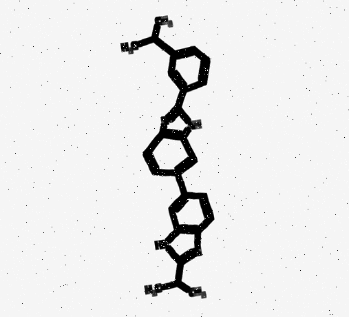 CC(C)c1cccc(-c2nc3ccc(-c4ccc5nc(C(C)C)[nH]c5c4)cc3[nH]2)c1